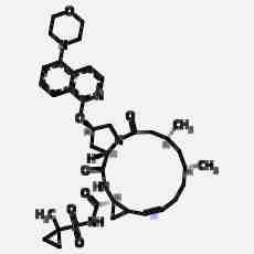 C[C@@H]1CC/C=C\C2C[C@@]2(C(=O)NS(=O)(=O)C2(C)CC2)NC(=O)[C@@H]2C[C@@H](Oc3nccc4c(N5CCOCC5)cccc34)CN2C(=O)C[C@H](C)C1